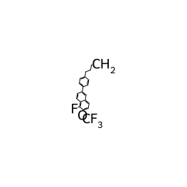 C=CCCc1ccc(-c2ccc3c(F)c(OC(F)(F)F)ccc3c2)cc1